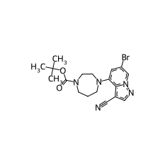 CC(C)(C)OC(=O)N1CCCN(c2cc(Br)cn3ncc(C#N)c23)CC1